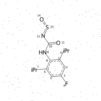 CC(C)c1cc(F)cc(C(C)C)c1NC(=O)N=S=O